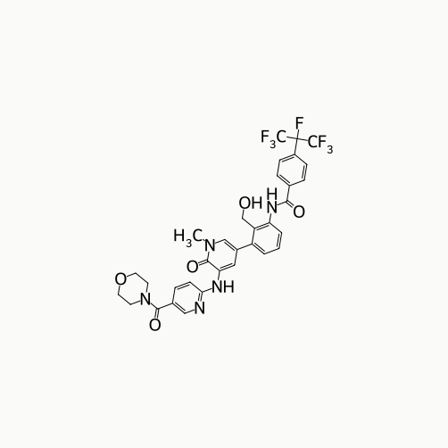 Cn1cc(-c2cccc(NC(=O)c3ccc(C(F)(C(F)(F)F)C(F)(F)F)cc3)c2CO)cc(Nc2ccc(C(=O)N3CCOCC3)cn2)c1=O